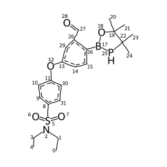 CCN(CC)S(=O)(=O)c1ccc(Oc2ccc(B3OC(C)(C)C(C)(C)P3)c(C=O)c2)cc1